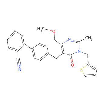 COCc1nc(C)n(Cc2cccs2)c(=O)c1Cc1ccc(-c2ccccc2C#N)cc1